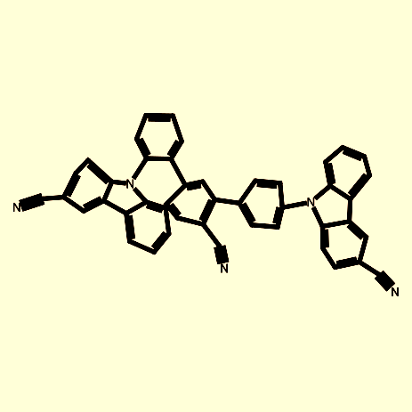 N#Cc1ccc2c(c1)c1ccccc1n2-c1ccc(-c2cc(-c3ccccc3-n3c4ccccc4c4cc(C#N)ccc43)ccc2C#N)cc1